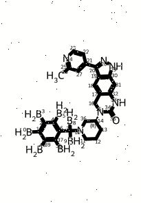 Bc1c(B)c(B)c(C(B)(B)N2CCC[C@@H](N3Cc4cc5c(-c6ccnc(C)c6)n[nH]c5cc4NC3=O)C2)c(B)c1B